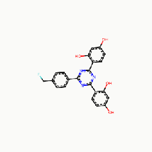 Oc1ccc(-c2nc(-c3ccc(CF)cc3)nc(-c3ccc(O)cc3O)n2)c(O)c1